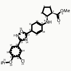 COC(=O)[C@@H]1CCC[C@@H]1NC1=CCC(c2nc(-c3ccc(OC(C)C)c(Cl)c3)no2)C=C1